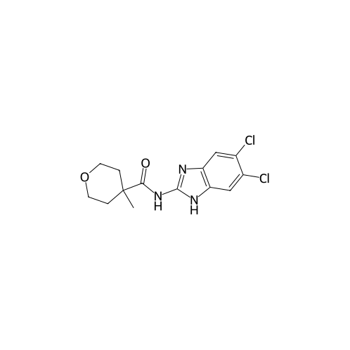 CC1(C(=O)Nc2nc3cc(Cl)c(Cl)cc3[nH]2)CCOCC1